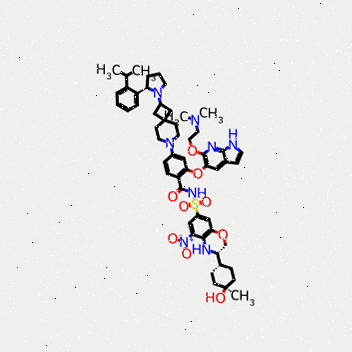 CC(C)c1ccccc1[C@H]1CCCN1C1CC2(CCN(c3ccc(C(=O)NS(=O)(=O)c4cc5c(c([N+](=O)[O-])c4)N[C@@H]([C@H]4CC[C@](C)(O)CC4)CO5)c(Oc4cc5cc[nH]c5nc4OCCN(C)C)c3)CC2)C1